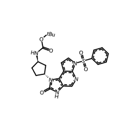 CC(C)(C)OC(=O)N[C@@H]1CC[C@@H](n2c(=O)[nH]c3cnc4c(ccn4S(=O)(=O)c4ccccc4)c32)C1